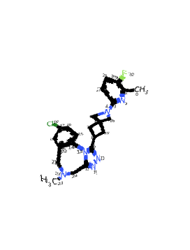 Cc1nc(N2CC3(CC(c4nnc5n4-c4ccc(Cl)cc4CN(C)C5)C3)C2)ccc1F